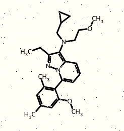 CCc1nn2c(-c3c(C)cc(C)cc3OC)cccc2c1N(CCOC)CC1CC1